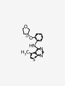 Cc1csc2ncnc(Nc3ccccc3O[C@H]3CCOC3)c12